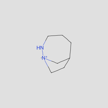 C1CN[N+]2CCC(C1)C2